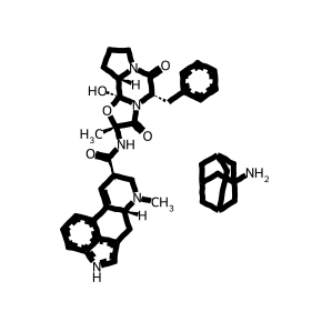 CN1C[C@H](C(=O)N[C@]2(C)O[C@@]3(O)[C@@H]4CCCN4C(=O)[C@H](Cc4ccccc4)N3C2=O)C=C2c3cccc4[nH]cc(c34)C[C@H]21.NC12CC3CC(CC(C3)C1)C2